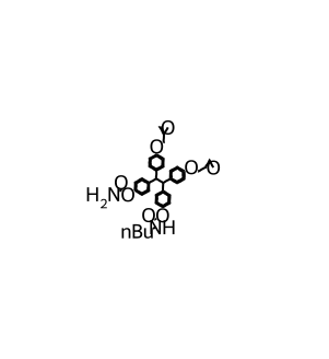 CCCCNC(=O)Oc1ccc(C(c2ccc(OCC3CO3)cc2)C(c2ccc(OCC3CO3)cc2)c2ccc(OC(N)=O)cc2)cc1